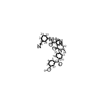 COc1cccc(C(=O)c2ccc(N3C(=O)c4c(C(=O)Nc5cccc(C#N)c5)cnn4CC3C)cc2)c1